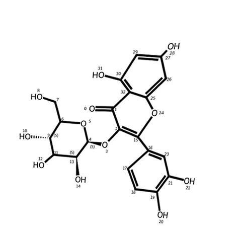 O=c1c(O[C@@H]2OC(CO)[C@@H](O)C(O)[C@@H]2O)c(-c2ccc(O)c(O)c2)oc2cc(O)cc(O)c12